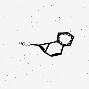 O=C(O)C1=C2C=Cc3ccccc3C21